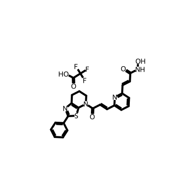 O=C(/C=C/c1cccc(/C=C/C(=O)N2CCCc3nc(-c4ccccc4)sc32)n1)NO.O=C(O)C(F)(F)F